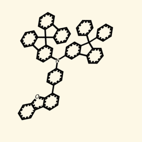 c1ccc(C2(c3ccccc3)c3ccccc3-c3cc(N(c4ccc(-c5cccc6c5oc5ccccc56)cc4)c4ccc5c(c4)C4(c6ccccc6-c6ccccc64)c4ccccc4-5)ccc32)cc1